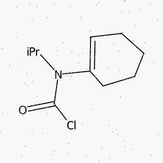 CC(C)N(C(=O)Cl)C1=CCCCC1